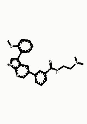 COc1ccccc1-c1c[nH]c2ncc(-c3cccc(C(=O)NCCN(C)C)c3)cc12